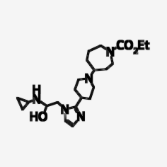 CCOC(=O)N1CCCC(N2CCC(c3nccn3CC(O)NC3CC3)CC2)CC1